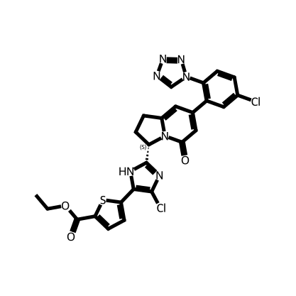 CCOC(=O)c1ccc(-c2[nH]c([C@@H]3CCc4cc(-c5cc(Cl)ccc5-n5cnnn5)cc(=O)n43)nc2Cl)s1